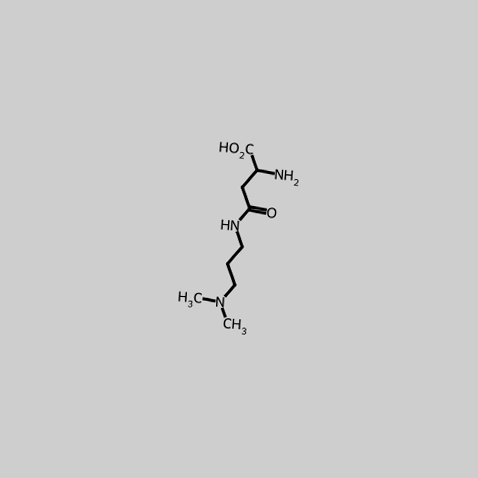 CN(C)CCCNC(=O)CC(N)C(=O)O